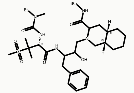 CCN(C)C(=O)N[C@H](C(=O)NC(Cc1ccccc1)C(O)CN1C[C@H]2CCCC[C@H]2CC1C(=O)NC(C)(C)C)C(C)(C)S(C)(=O)=O